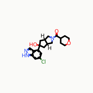 O=C(C1CCOCC1)N1C[C@@H]2CC(O)(c3cc(Cl)cc4[nH]ncc34)C[C@@H]2C1